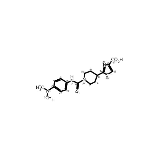 CN(C)c1ccc(NC(=S)N2CCC(c3nc(C(=O)O)cs3)CC2)cc1